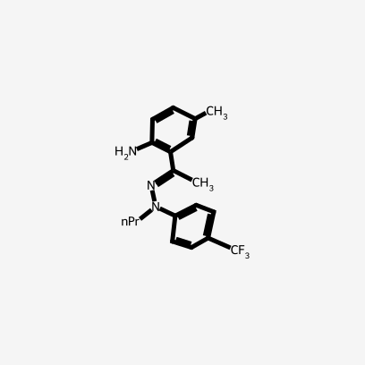 CCCN(/N=C(\C)c1cc(C)ccc1N)c1ccc(C(F)(F)F)cc1